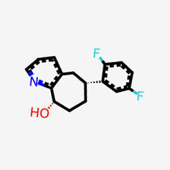 O[C@H]1CC[C@@H](c2cc(F)ccc2F)Cc2cccnc21